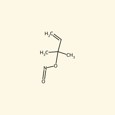 C=CC(C)(C)ON=O